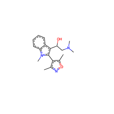 Cc1noc(C)c1-c1c(C(O)CN(C)C)c2ccccc2n1C